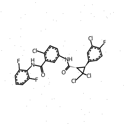 O=C(Nc1c(F)cccc1F)c1cc(NC(=O)[C@@H]2[C@@H](c3ccc(F)c(Cl)c3)C2(Cl)Cl)ccc1Cl